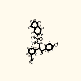 CC(c1ccc(Cl)cc1)C(CNS(=O)(=O)c1ccc2ccccc2c1)c1cccc(C#N)c1